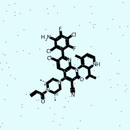 C=CC(=O)N1[C@H](C)CN(c2c(C#N)c(=O)n(C3=C(C)C=CNC3C(C)C)c3nc(-c4c(F)c(Cl)c(F)c(N)c4Cl)c(Cl)cc23)C[C@@H]1C